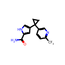 NC(=O)c1cc(C2(c3ccc(C(F)(F)F)nc3)CC2)c[nH]1